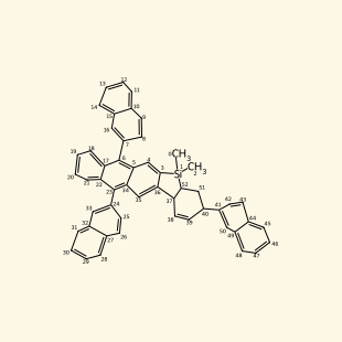 C[Si]1(C)c2cc3c(-c4ccc5ccccc5c4)c4ccccc4c(-c4ccc5ccccc5c4)c3cc2C2C=CC(c3ccc4ccccc4c3)CC21